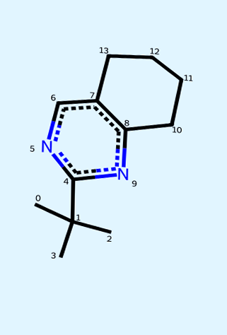 CC(C)(C)c1ncc2c(n1)CCCC2